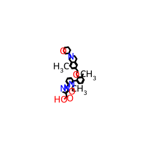 COc1c(C(=O)O)cnn1-c1cccc(-c2cccc(C)c2OCc2cc(C)c3c(c2)CCN(C2CCCOC2)C3)n1